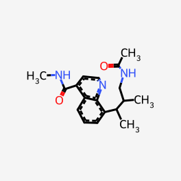 CNC(=O)c1ccnc2c(C(C)C(C)CNC(C)=O)cccc12